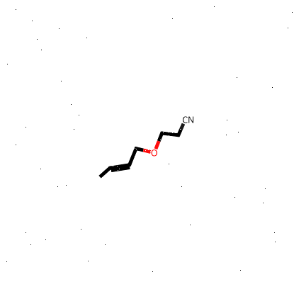 CC=CCOCCC#N